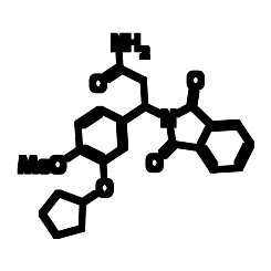 COc1ccc(C(CC(N)=O)N2C(=O)c3ccccc3C2=O)cc1OC1CCCC1